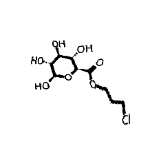 O=C(OCCCCl)[C@H]1O[C@@H](O)[C@H](O)[C@@H](O)[C@@H]1O